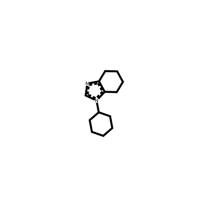 [c]1nc2c(n1C1CCCCC1)CCCC2